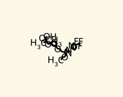 CCOc1nn(-c2ccc(C(F)(F)F)cn2)cc1CCOc1cccc(OC(C)(C)C(=O)O)c1